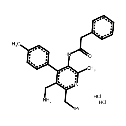 Cc1ccc(-c2c(CN)c(CC(C)C)nc(C)c2NC(=O)Cc2ccccc2)cc1.Cl.Cl